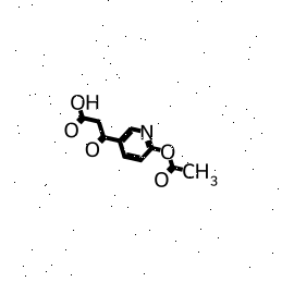 CC(=O)Oc1ccc(C(=O)CC(=O)O)cn1